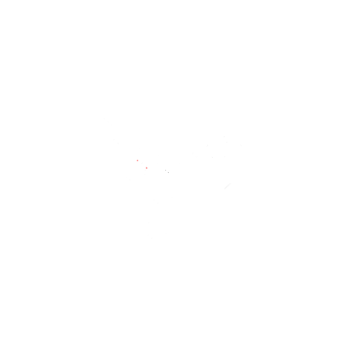 c1ccc(-c2ccc(N(c3ccc(-c4ccc5ccccc5c4)cc3)c3ccc4c(c3)-c3ccccc3C43C4CC5CC(C4)CC3C5)c(-c3ccccc3)c2)cc1